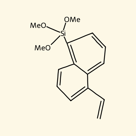 C=Cc1cccc2c([Si](OC)(OC)OC)cccc12